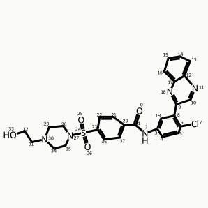 O=C(Nc1ccc(Cl)c(-c2cnc3ccccc3n2)c1)c1ccc(S(=O)(=O)N2CCN(CCO)CC2)cc1